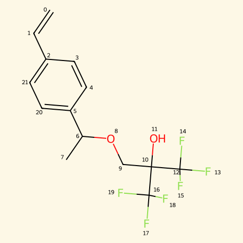 C=Cc1ccc(C(C)OCC(O)(C(F)(F)F)C(F)(F)F)cc1